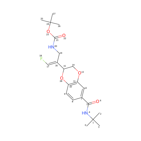 CC(C)(C)NC(=O)c1ccc2c(c1)OCC(C(=CF)CNC(=O)OC(C)(C)C)O2